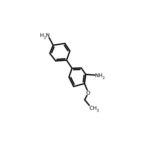 CCOc1ccc(-c2ccc(N)cc2)cc1N